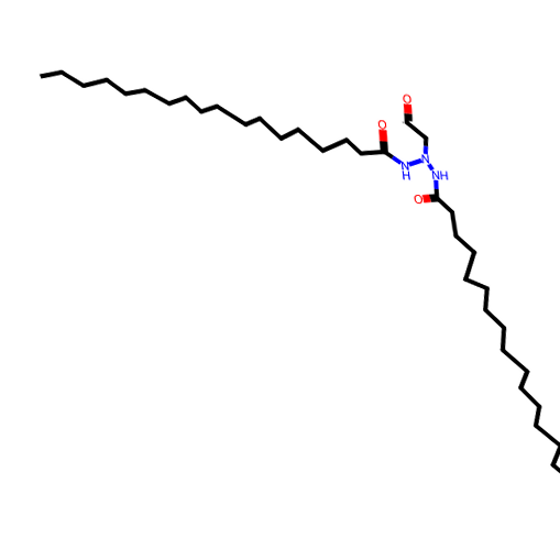 CCCCCCCCCCCCCCCCCC(=O)NN(C[C]=O)NC(=O)CCCCCCCCCCCCCCCCC